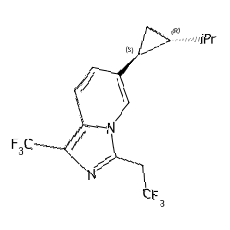 CC(C)[C@H]1C[C@@H]1c1ccc2c(C(F)(F)F)nc(CC(F)(F)F)n2c1